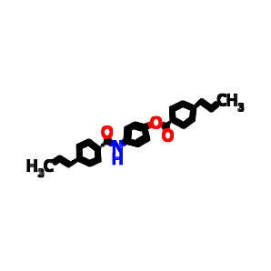 CCC[C@H]1CC[C@H](C(=O)Nc2ccc(OC(=O)[C@H]3CC[C@H](CCC)CC3)cc2)CC1